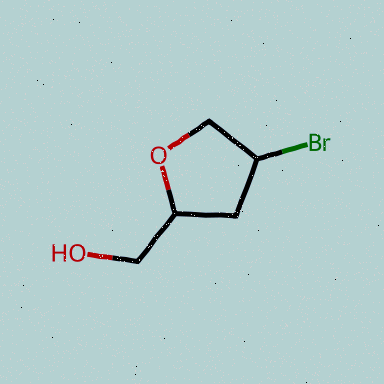 OCC1CC(Br)CO1